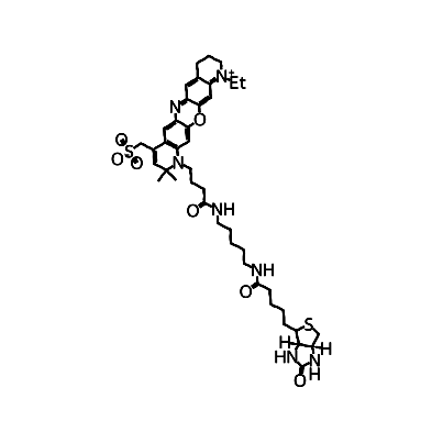 CC[N+]1=c2cc3c(cc2CCC1)=Nc1cc2c(cc1O3)N(CCCC(=O)NCCCCCNC(=O)CCCCC1SC[C@@H]3NC(=O)N[C@H]13)C(C)(C)C=C2CS(=O)(=O)[O-]